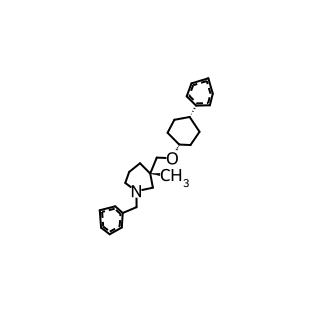 C[C@]1(CO[C@H]2CC[C@@H](c3ccccc3)CC2)CCCN(Cc2ccccc2)C1